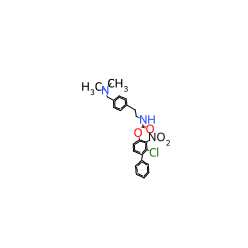 CN(C)Cc1ccc(CCNC(=O)Oc2ccc(-c3ccccc3)c(Cl)c2[N+](=O)[O-])cc1